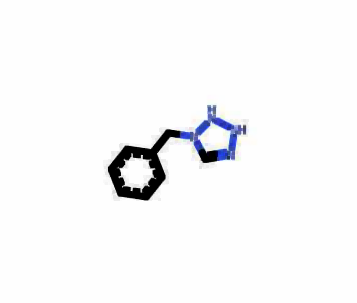 [C]1=NNNN1Cc1ccccc1